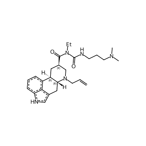 C=CCN1C[C@H](C(=O)N(CC)C(=O)NCCCN(C)C)C[C@@H]2c3cccc4[nH]cc(c34)C[C@H]21